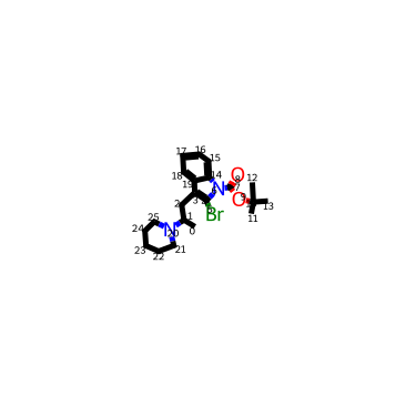 CC(Cc1c(Br)n(C(=O)OC(C)(C)C)c2ccccc12)N1CCCCC1